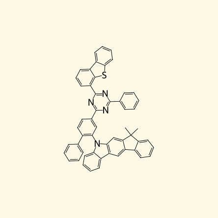 CC1(C)c2ccccc2-c2cc3c4ccccc4n(-c4cc(-c5nc(-c6ccccc6)nc(-c6cccc7c6sc6ccccc67)n5)ccc4-c4ccccc4)c3cc21